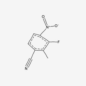 Cc1c(C#N)ccc([N+](=O)[O-])c1F